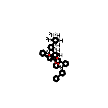 [2H]c1c([2H])c([2H])c(-c2ccc(-n3c4ccccc4c4ccc(-c5ccc(-c6ccccc6N(c6ccccc6)c6cccc(-c7ccccc7)c6)cc5)cc43)c(-c3c([2H])c([2H])c([2H])c([2H])c3[2H])c2)c([2H])c1[2H]